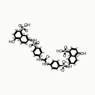 O=C(Nc1ccc(S(=O)(=O)Nc2ccc3c(O)ccc(S(=O)(=O)O)c3c2)cc1)Nc1ccc(S(=O)(=O)Nc2ccc3c(O)ccc(S(=O)(=O)O)c3c2)cc1